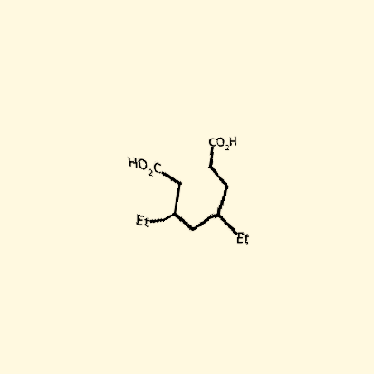 CCC(CCC(=O)O)CC(CC)CC(=O)O